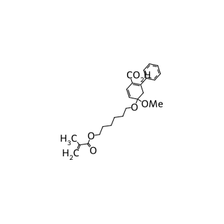 C=C(C)C(=O)OCCCCCCOC1(OC)C=CC(C(=O)O)=C(c2ccccc2)C1